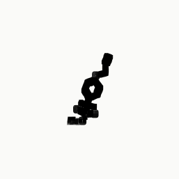 C#CCOc1ccc(C(C)(C)S(=O)(=O)OC)cc1